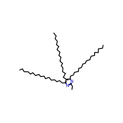 [CH2]Cc1nc(CCCCCCCCCCCCCCCCC)c(CCCCCCCCCCCCCCCCC)c(CCCCCCCCCCCCCCCCC)n1